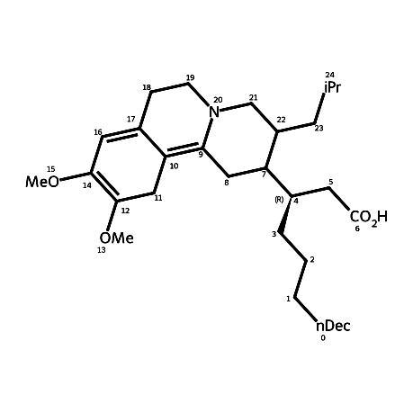 CCCCCCCCCCCCC[C@H](CC(=O)O)C1CC2=C3CC(OC)=C(OC)C=C3CCN2CC1CC(C)C